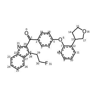 O=C(c1ccc(Oc2ncccc2C2CCOC2)cc1)c1nc2ccccc2n1CCF